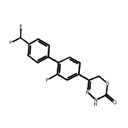 O=C1NN=C(c2ccc(-c3ccc(C(F)F)cc3)c(F)c2)CO1